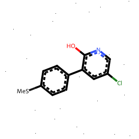 CSc1ccc(-c2cc(Cl)cnc2O)cc1